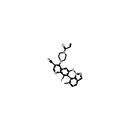 C=CC(=O)N1CCN(c2c(C#N)cnc3c(F)c4c(cc23)Sn2ncc3ccc(C)c-4c32)CC1